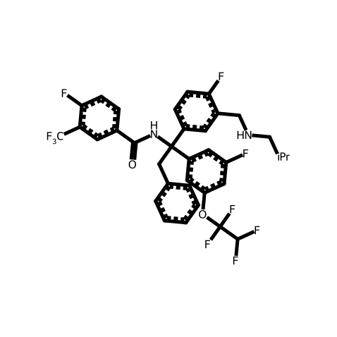 CC(C)CNCc1cc(C(Cc2ccccc2)(NC(=O)c2ccc(F)c(C(F)(F)F)c2)c2cc(F)cc(OC(F)(F)C(F)F)c2)ccc1F